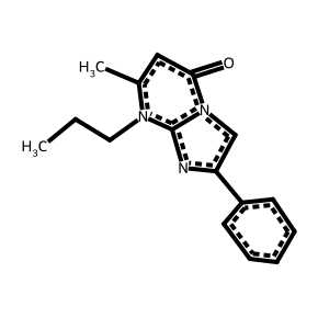 CCCn1c(C)cc(=O)n2cc(-c3ccccc3)nc12